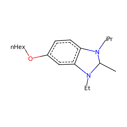 CCCCCCOc1ccc2c(c1)N(CC)C(C)N2C(C)C